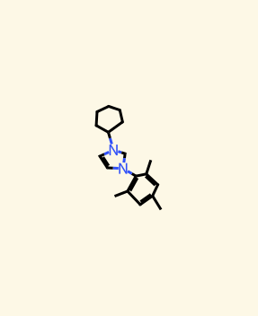 Cc1cc(C)c(N2C=CN(C3CCCCC3)C2)c(C)c1